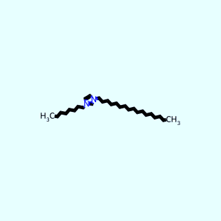 CCCCCCCCCCCCCCCCCn1cc[n+](CCCCCCCC)c1